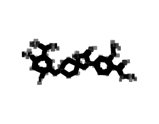 COC(=O)c1ccc(N2CC3(CCN(Cc4cc(C(C)C)c(C)cc4F)CC3)NC2=O)cc1OC